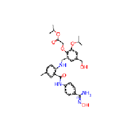 Cc1ccc(NCc2cc(CO)cc(OC(C)C)c2OCC(=O)OC(C)C)c(C(=O)Nc2ccc(/C(N)=N/O)cc2)c1